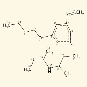 C=Cc1cccc(OCCCC)c1.CCC(C)NC(C)CC